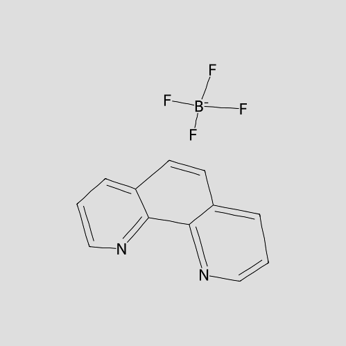 F[B-](F)(F)F.c1cnc2c(c1)ccc1cccnc12